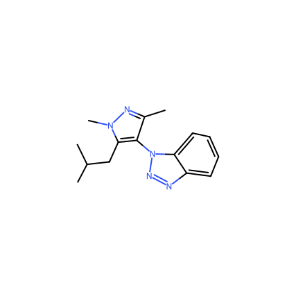 Cc1nn(C)c(CC(C)C)c1-n1nnc2ccccc21